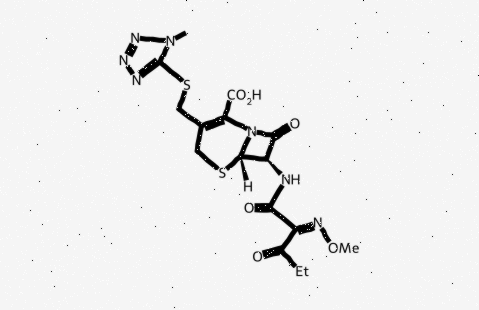 CCC(=O)C(=NOC)C(=O)N[C@@H]1C(=O)N2C(C(=O)O)=C(CSc3nnnn3C)CS[C@@H]12